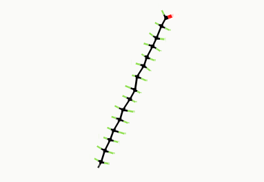 O=C(F)C(F)(F)C(F)(F)C(F)(F)C(F)(F)C(F)(F)C(F)(F)C(F)(F)C(F)(F)C(F)(F)C(F)(F)C(F)(F)C(F)(F)C(F)(F)C(F)(F)C(F)(F)F